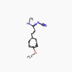 CNC(/C=C/c1ccc(OC)cc1)=N/C#N